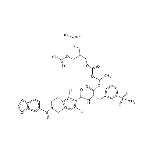 CC(OC(=O)OCC(COC(=O)C(C)(C)C)COC(=O)C(C)(C)C)OC(=O)[C@H](Cc1cccc(S(C)(=O)=O)c1)NC(=O)c1c(Cl)cc2c(c1Cl)CCN(C(=O)c1ccc3ccoc3c1)C2